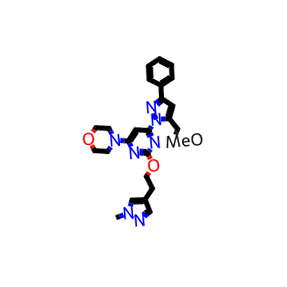 COCc1cc(-c2ccccc2)nn1-c1cc(N2CCOCC2)nc(OCCc2cnn(C)c2)n1